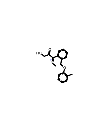 C/N=C(/C(=O)CO)c1ccccc1COc1ccccc1C